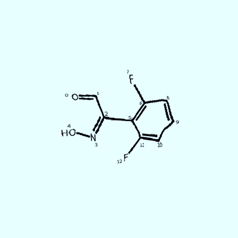 O=CC(=NO)c1c(F)cccc1F